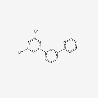 Brc1cc(Br)cc(-c2cccc(-c3ccccn3)c2)c1